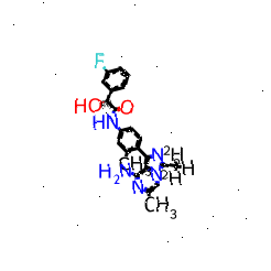 [2H]C([2H])([2H])c1nc(-c2ccc(NC(=O)[C@H](O)c3cccc(F)c3)cc2C)c2c(N)nc(C)cn12